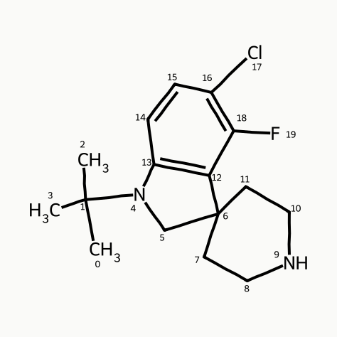 CC(C)(C)N1CC2(CCNCC2)c2c1ccc(Cl)c2F